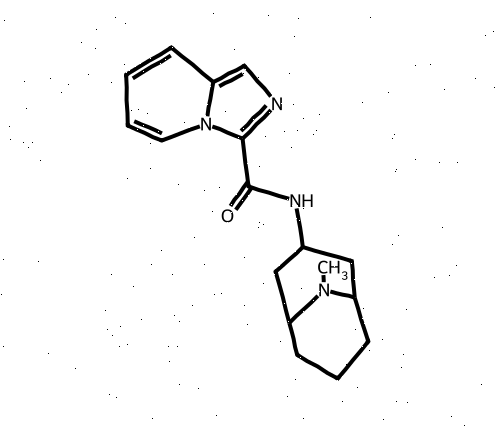 CN1C2CCCC1CC(NC(=O)c1ncc3ccccn13)C2